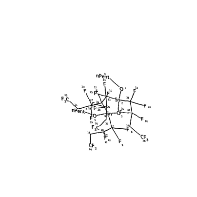 CCCCC[O][Sn]([O][Sn]([O]CCCCC)([C](F)(F)C(F)(F)CC(F)(F)F)[C](F)(F)C(F)(F)CC(F)(F)F)([C](F)(F)C(F)(F)CC(F)(F)F)[C](F)(F)C(F)(F)CC(F)(F)F